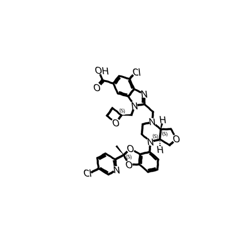 C[C@]1(c2ccc(Cl)cn2)Oc2cccc(N3CCN(Cc4nc5c(Cl)cc(C(=O)O)cc5n4C[C@@H]4CCO4)[C@@H]4COC[C@H]43)c2O1